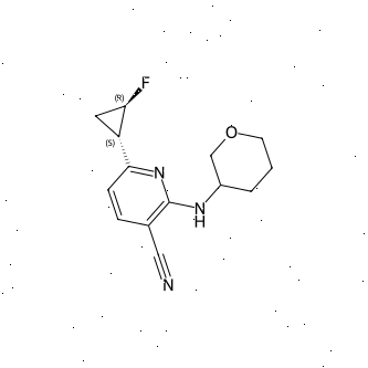 N#Cc1ccc([C@@H]2C[C@H]2F)nc1NC1CCCOC1